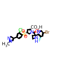 Cn1cc(-c2ccc(S(=O)(=O)[C@@H]3C[C@@H](C(=O)O)N(C(=O)C4(c5ncc(Br)cc5F)CCN4)C3)c(Cl)c2)cn1